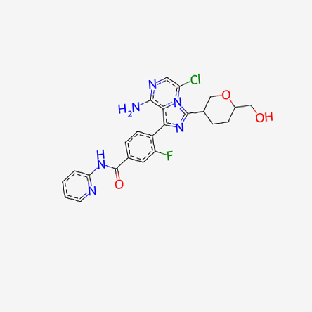 Nc1ncc(Cl)n2c(C3CCC(CO)OC3)nc(-c3ccc(C(=O)Nc4ccccn4)cc3F)c12